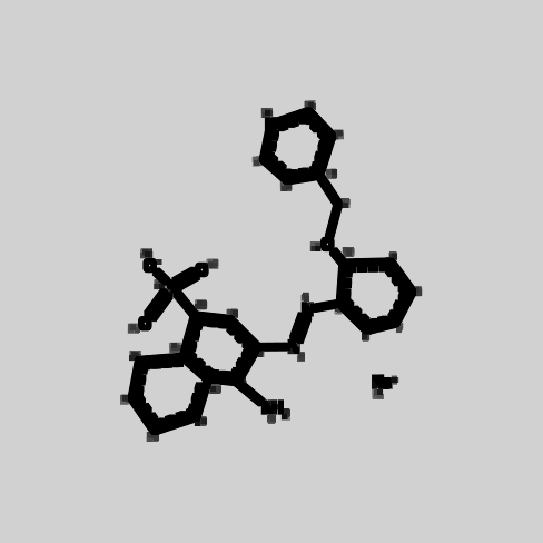 Nc1c(N=Nc2ccccc2OCc2ccncc2)cc(S(=O)(=O)[O-])c2ccccc12.[Na+]